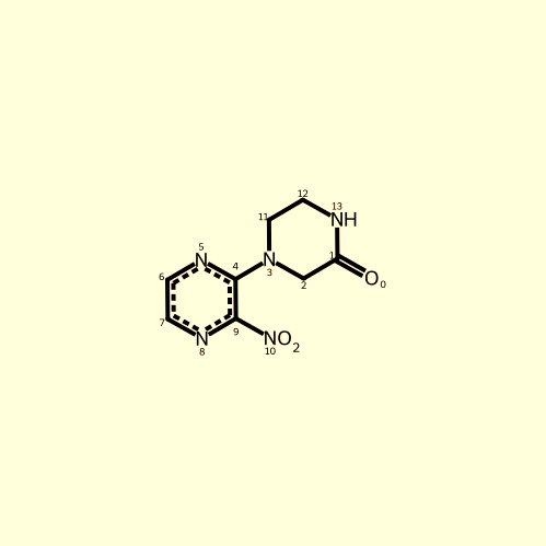 O=C1CN(c2nccnc2[N+](=O)[O-])CCN1